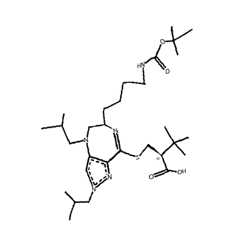 CC(C)CN1CC(CCCCNC(=O)OC(C)(C)C)N=C(SC[C@H](C(=O)O)C(C)(C)C)c2nn(CC(C)C)cc21